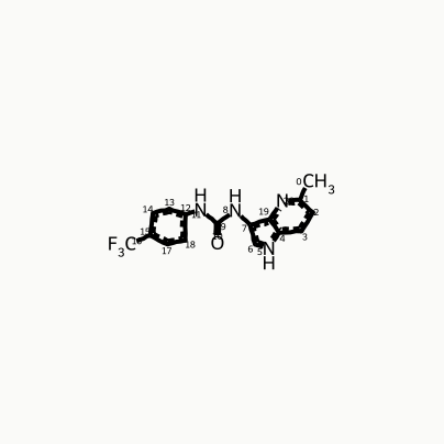 Cc1ccc2[nH]cc(NC(=O)Nc3ccc(C(F)(F)F)cc3)c2n1